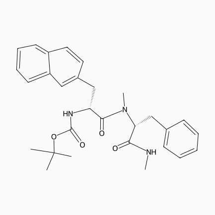 CNC(=O)[C@@H](Cc1ccccc1)N(C)C(=O)[C@@H](Cc1ccc2ccccc2c1)NC(=O)OC(C)(C)C